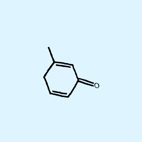 CC1=CC(=O)C=CC1